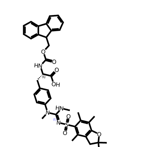 CN/C(=N\S(=O)(=O)c1c(C)c(C)c2c(c1C)CC(C)(C)O2)N(C)c1ccc(C[C@H](NC(=O)OCC2c3ccccc3-c3ccccc32)C(=O)O)cc1